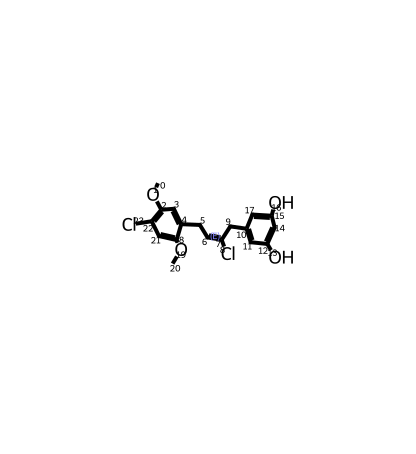 COc1cc(C/C=C(/Cl)Cc2cc(O)cc(O)c2)c(OC)cc1Cl